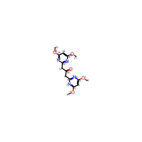 COc1cc(OC)nc(CC(=O)Cc2nc(OC)cc(OC)n2)n1